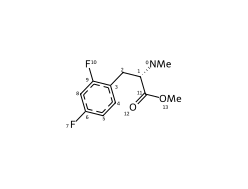 CN[C@@H](Cc1ccc(F)cc1F)C(=O)OC